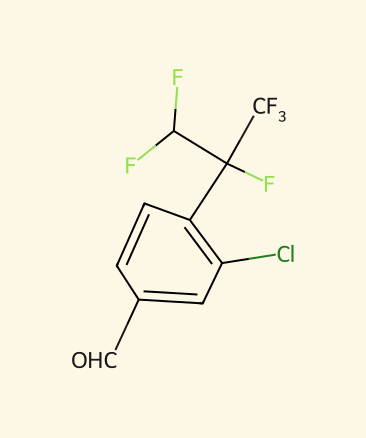 O=Cc1ccc(C(F)(C(F)F)C(F)(F)F)c(Cl)c1